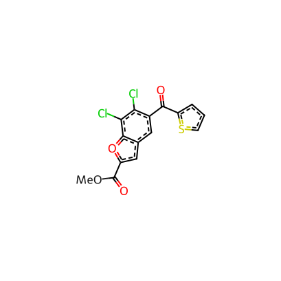 COC(=O)c1cc2cc(C(=O)c3cccs3)c(Cl)c(Cl)c2o1